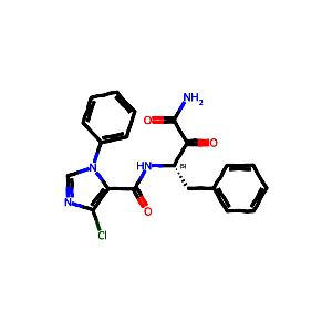 NC(=O)C(=O)[C@H](Cc1ccccc1)NC(=O)c1c(Cl)ncn1-c1ccccc1